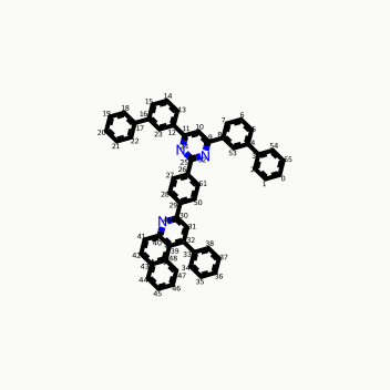 c1ccc(-c2cccc(-c3cc(-c4cccc(-c5ccccc5)c4)nc(-c4ccc(-c5cc(-c6ccccc6)c6c(ccc7ccccc76)n5)cc4)n3)c2)cc1